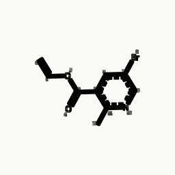 C=COC(=O)c1cc(Br)cnc1C